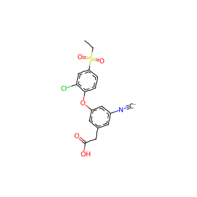 [C-]#[N+]c1cc(CC(=O)O)cc(Oc2ccc(S(=O)(=O)CC)cc2Cl)c1